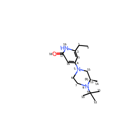 CCc1cc(N2CCN(C(C)(C)C)[C@H](C)C2)cc(=O)[nH]1